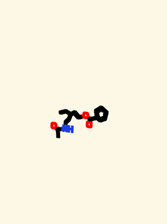 CCC(C=COC(=O)c1ccccc1)CCNC(C)=O